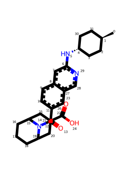 C[C@H]1CC[C@H](Nc2cc3ccc(C(=O)N4C5CCCC4CC(C(=O)O)C5)cc3cn2)CC1